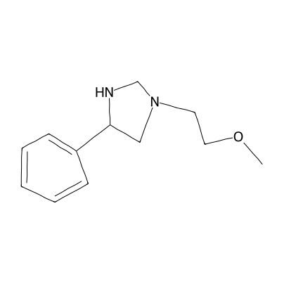 COCCN1CNC(c2ccccc2)C1